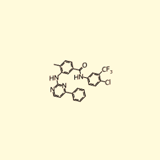 Cc1ccc(C(=O)Nc2ccc(Cl)c(C(F)(F)F)c2)cc1Nc1nccc(-c2ccccc2)n1